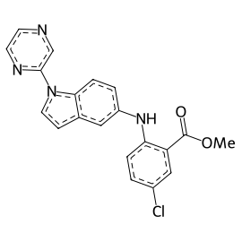 COC(=O)c1cc(Cl)ccc1Nc1ccc2c(ccn2-c2cnccn2)c1